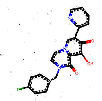 O=c1c(-c2ccccn2)cn2ccn(Cc3ccc(F)cc3)c(=O)c2c1O